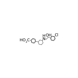 O=C(O)c1ccc(C2CCCC(NC[C@H](O)c3cccc(Cl)c3)C2)cc1